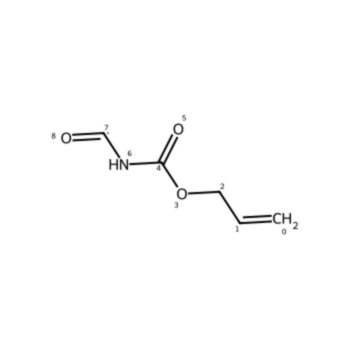 C=CCOC(=O)N[C]=O